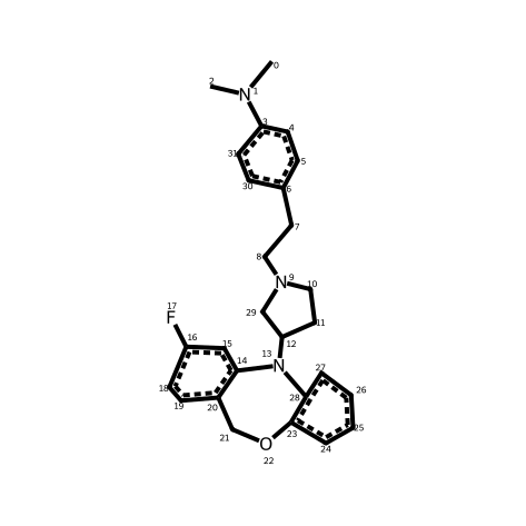 CN(C)c1ccc(CCN2CCC(N3c4cc(F)ccc4COc4ccccc43)C2)cc1